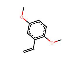 C=[C]c1cc(OC)ccc1OC